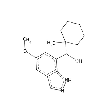 COc1cc(C(O)C2(C)CCCCC2)c2[nH]ncc2c1